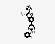 C[C@@H](Cn1cnnn1)Oc1cc(-c2cnc(Nc3ccccc3F)nc2)ccc1Cl